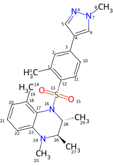 Cc1cc(-c2cnn(C)c2)ccc1S(=O)(=O)N1c2c(C)cccc2N(C)[C@H](C)[C@H]1C